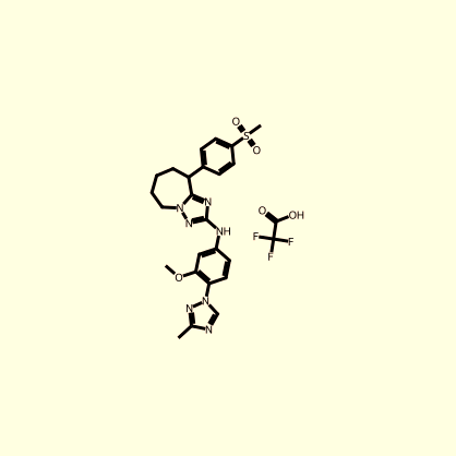 COc1cc(Nc2nc3n(n2)CCCCC3c2ccc(S(C)(=O)=O)cc2)ccc1-n1cnc(C)n1.O=C(O)C(F)(F)F